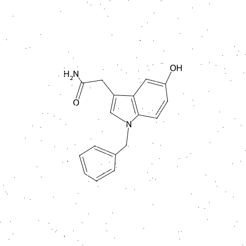 NC(=O)Cc1cn(Cc2ccccc2)c2ccc(O)cc12